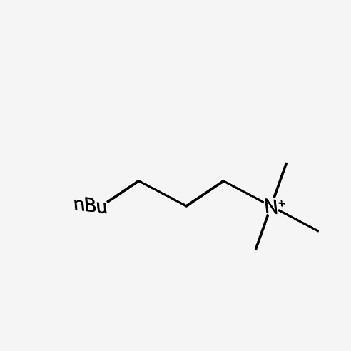 [CH2]CCCCCC[N+](C)(C)C